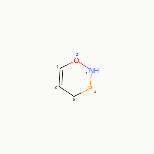 C1=CON[P]C1